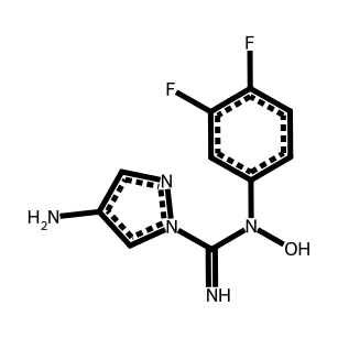 N=C(N(O)c1ccc(F)c(F)c1)n1cc(N)cn1